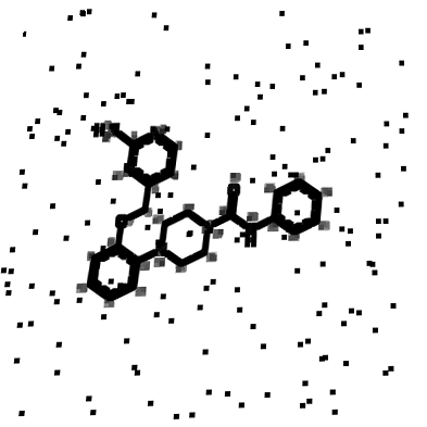 Nc1nccc(COc2ccccc2N2CCN(C(=O)Nc3ccccc3)CC2)n1